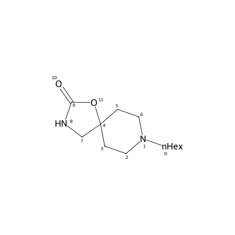 CCCCCCN1CCC2(CC1)CNC(=O)O2